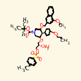 C=CCOc1ccc([C@@H]2C(OCc3cc(OC)c4ccccc4c3)CN(C(=O)OC(C)(C)C)C[C@H]2OC[C@H](O)COS(=O)(=O)c2ccc(C)cc2)cc1